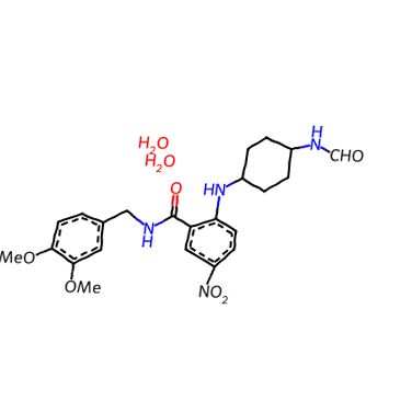 COc1ccc(CNC(=O)c2cc([N+](=O)[O-])ccc2NC2CCC(NC=O)CC2)cc1OC.O.O